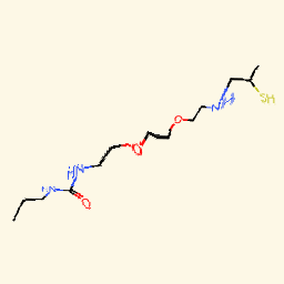 CCCNC(=O)NCCOCCOCCNCC(C)S